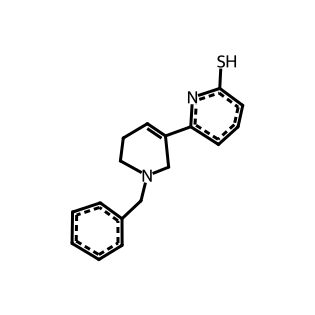 Sc1cccc(C2=CCCN(Cc3ccccc3)C2)n1